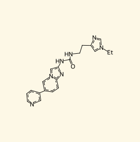 CCn1cnc(CCNC(=O)Nc2cn3cc(-c4cccnc4)ccc3n2)c1